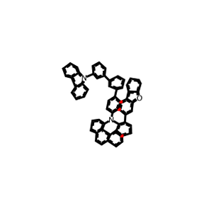 c1cc(-c2ccc(N(c3ccccc3-c3ccc4c(c3)oc3ccccc34)c3cccc4ccc5ccccc5c34)cc2)cc(-c2cccc(-n3c4ccccc4c4ccccc43)c2)c1